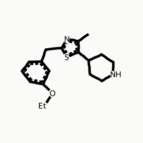 CCOc1cccc(Cc2nc(C)c(C3CCNCC3)s2)c1